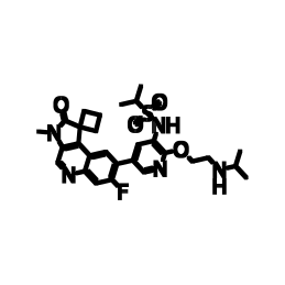 CC(C)NCCOc1ncc(-c2cc3c4c(cnc3cc2F)N(C)C(=O)C42CCC2)cc1NS(=O)(=O)C(C)C